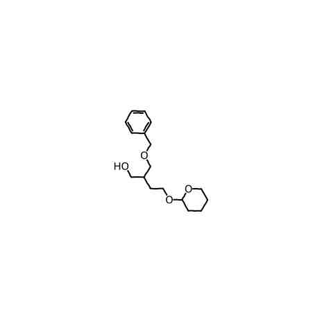 OCC(CCOC1CCCCO1)COCc1ccccc1